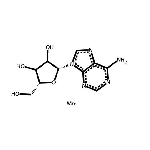 Nc1ncnc2c1ncn2[C@@H]1O[C@H](CO)C(O)C1O.[Mn]